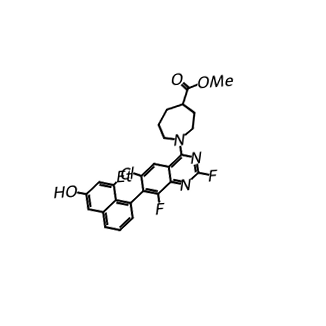 CCc1cc(O)cc2cccc(-c3c(Cl)cc4c(N5CCCC(C(=O)OC)CC5)nc(F)nc4c3F)c12